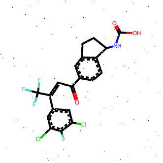 O=C(O)NC1CCc2cc(C(=O)/C=C(\c3cc(Cl)c(F)c(Cl)c3)C(F)(F)F)ccc21